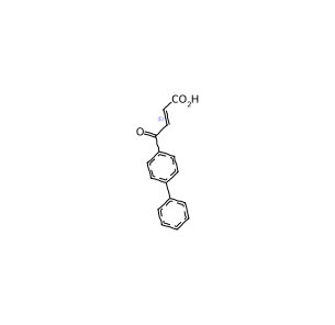 O=C(O)/C=C/C(=O)c1ccc(-c2ccccc2)cc1